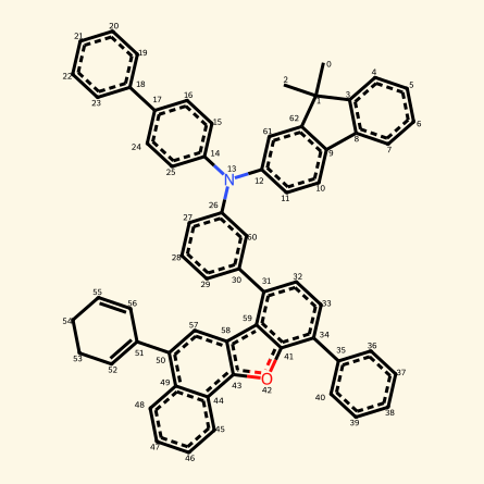 CC1(C)c2ccccc2-c2ccc(N(c3ccc(-c4ccccc4)cc3)c3cccc(-c4ccc(-c5ccccc5)c5oc6c7ccccc7c(C7=CCCC=C7)cc6c45)c3)cc21